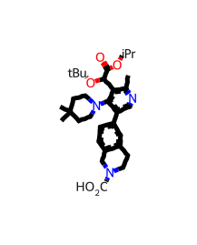 Cc1ncc(-c2ccc3c(c2)CCN(C(=O)O)C3)c(N2CCC(C)(C)CC2)c1C(OC(C)(C)C)C(=O)OC(C)C